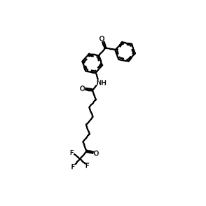 O=C(CCCCCCC(=O)C(F)(F)F)Nc1cccc(C(=O)c2ccccc2)c1